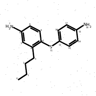 CCCCc1cc(N)ccc1Sc1ccc(N)cc1